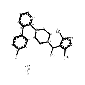 Cc1n[nH]c(C)c1C(C)N1CCN(c2ncccc2-c2ccc(F)cc2)CC1.Cl.Cl